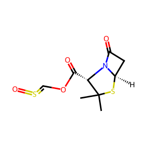 CC1(C)S[C@@H]2CC(=O)N2[C@H]1C(=O)OC=S=O